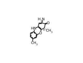 Cc1ccc2c(c1)OC1=C(C=C(N)C(=O)[C@@H]1C)N2